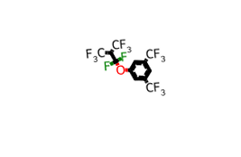 FC(F)(F)c1cc(OC(F)(F)C(C(F)(F)F)C(F)(F)F)cc(C(F)(F)F)c1